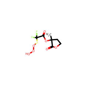 CC1(OC(=O)C(F)(F)SOOO)CCOC1=O